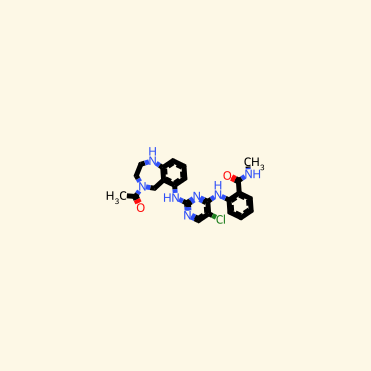 CNC(=O)c1ccccc1Nc1nc(Nc2cccc3c2CN(C(C)=O)CCN3)ncc1Cl